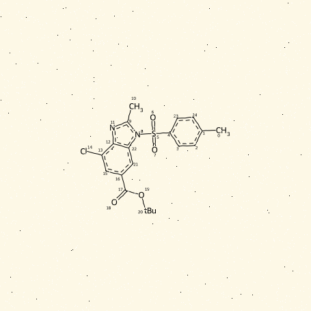 Cc1ccc(S(=O)(=O)n2c(C)nc3c(Cl)cc(C(=O)OC(C)(C)C)cc32)cc1